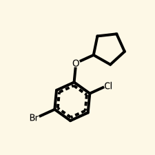 Clc1ccc(Br)cc1OC1CCCC1